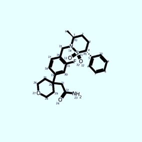 C[C@H]1CC[C@H](c2ccccc2)S(=O)(=O)N1Cc1ccc(C2(CC(N)=O)CCOCC2)cc1F